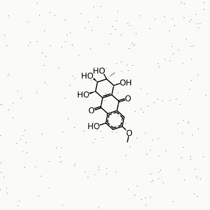 COc1cc(O)c2c(c1)C(=O)C1=C(C2=O)[C@@H](O)[C@@H](O)[C@@](C)(O)C1O